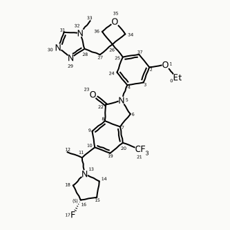 CCOc1cc(N2Cc3c(cc(C(C)N4CC[C@H](F)C4)cc3C(F)(F)F)C2=O)cc(C2(Cc3nncn3C)COC2)c1